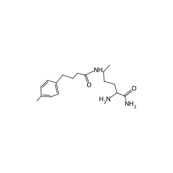 Cc1ccc(CCCC(=O)NC(C)CCC(N)C(N)=O)cc1